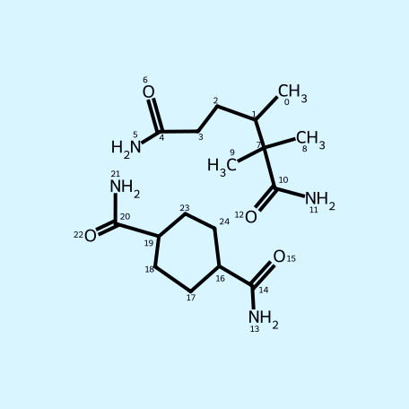 CC(CCC(N)=O)C(C)(C)C(N)=O.NC(=O)C1CCC(C(N)=O)CC1